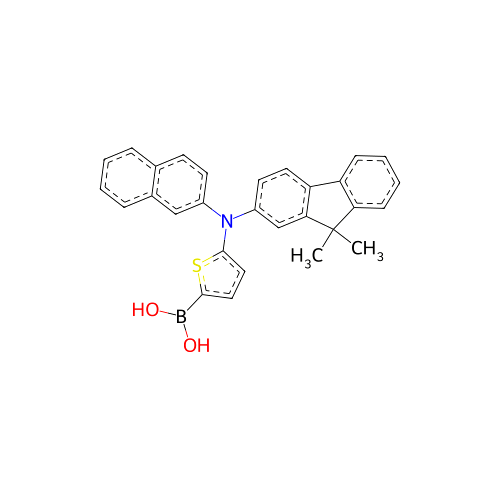 CC1(C)c2ccccc2-c2ccc(N(c3ccc4ccccc4c3)c3ccc(B(O)O)s3)cc21